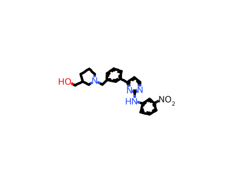 O=[N+]([O-])c1cccc(Nc2nccc(-c3cccc(CN4CCCC(CO)C4)c3)n2)c1